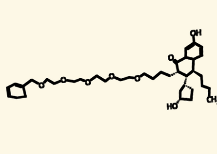 CCCC[C@@H]1C2C=CC(O)=CC2C(=O)[C@@H](CCCCOCCOCCOCCOCCOCC2=CC=CCC2)[C@H]1[C@@H]1CC[C@H](O)C1